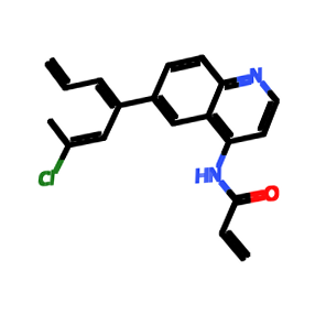 C=C/C=C(\C=C(/C)Cl)c1ccc2nccc(NC(=O)C=C)c2c1